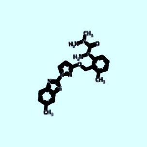 Cc1ccc2nc(-n3ccc(OCc4c(C)cccc4N(N)C(=O)N(C)N)n3)sc2c1